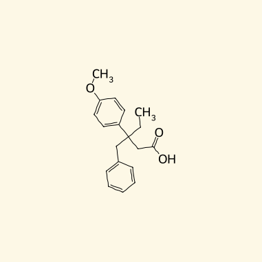 CCC(CC(=O)O)(Cc1ccccc1)c1ccc(OC)cc1